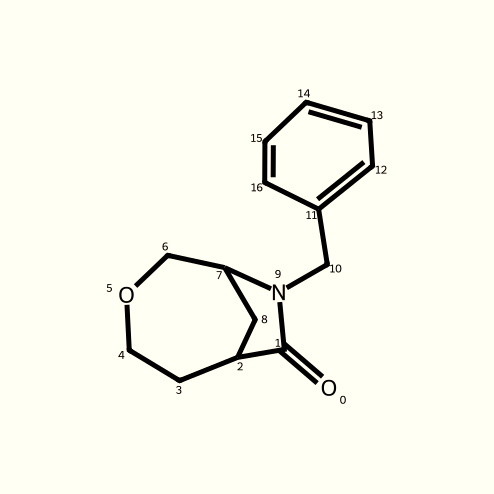 O=C1C2CCOCC(C2)N1Cc1ccccc1